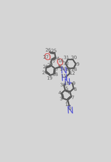 N#Cc1ccc2c(c1)CCN(CCC1(NC(=O)c3ccccc3-c3ccco3)CCCCC1)C2